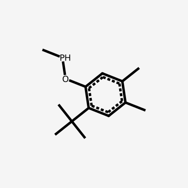 CPOc1cc(C)c(C)cc1C(C)(C)C